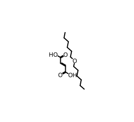 CCCCCCOCCCCCC.O=C(O)C=CC(=O)O